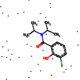 CC(C)N(C(=O)c1cccc(F)c1O)C(C)C